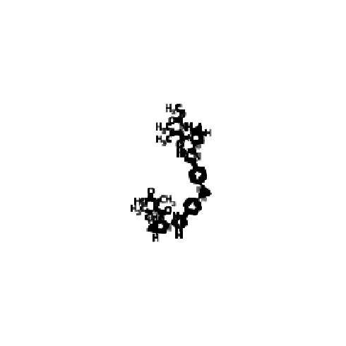 COC(=O)N[C@H](C(=O)N1[C@@H]2C[C@@H]2C[C@H]1c1nc(-c2ccc([C@H]3C[C@@H]3c3ccc(-c4c[nH]c([C@@H]5C[C@H]6C[C@H]6N5C(=O)[C@H](C(C)C)N(C)C(=O)O)n4)cc3)cc2)c[nH]1)C(C)C